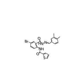 Cc1ccc(C=NNC(=O)c2cc(Br)ccc2NC(=O)c2cccs2)cc1C